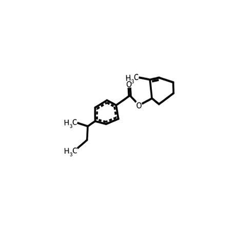 CCC(C)c1ccc(C(=O)OC2CCCC=C2C)cc1